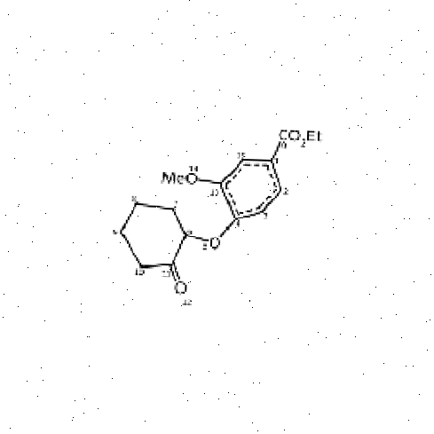 CCOC(=O)c1ccc(OC2CCCCC2=O)c(OC)c1